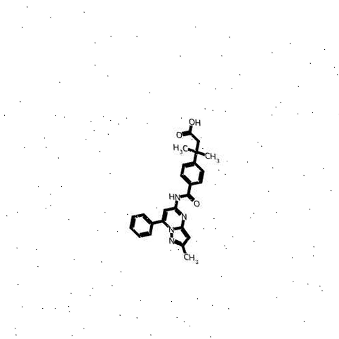 Cc1cc2nc(NC(=O)c3ccc(C(C)(C)CC(=O)O)cc3)cc(-c3ccccc3)n2n1